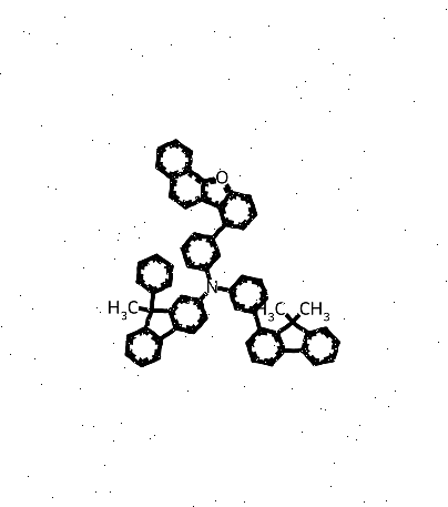 CC1(C)c2ccccc2-c2cccc(-c3cccc(N(c4cccc(-c5cccc6oc7c8ccccc8ccc7c56)c4)c4ccc5c(c4)C(C)(c4ccccc4)c4ccccc4-5)c3)c21